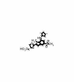 Cn1c(C2=N[C@H](CC(=O)O)CS2)cc2cc(S(C)(=O)=O)cc(NC3CCCC3)c21